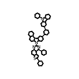 c1ccc(-c2cc3c(ccc4nc(-n5c6ccc(-c7cccc(-c8ccc9c(c8)c8ccccc8n9-c8ccccc8)c7)cc6c6c7ccccc7ccc65)nc(-c5ccccc5)c43)s2)cc1